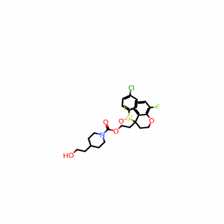 O=C(OCCC1([S+]([O-])c2ccc(Cl)cc2)CCOc2c(F)ccc(F)c21)N1CCC(CCO)CC1